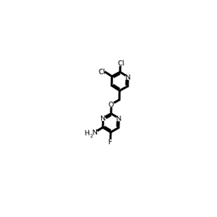 Nc1nc(OCc2cnc(Cl)c(Cl)c2)ncc1F